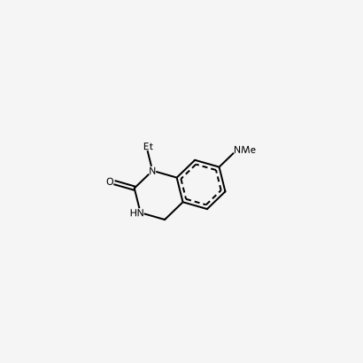 CCN1C(=O)NCc2ccc(NC)cc21